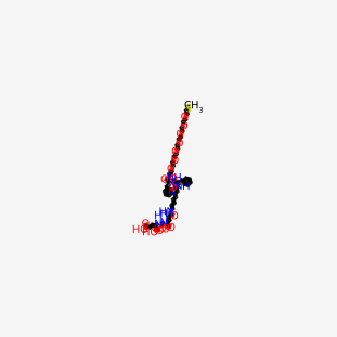 CSCCOCCOCCOCCOCCOCCOCCOCCNC(=O)[C@H](Cc1ccccc1)NC(=O)[C@H](Cc1ccccc1)NC(=O)CCCCCCCNC(=O)CCC(NC(=O)NC(CCC(=O)O)C(=O)O)C(=O)O